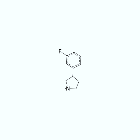 Fc1cccc(C2CC[N]C2)c1